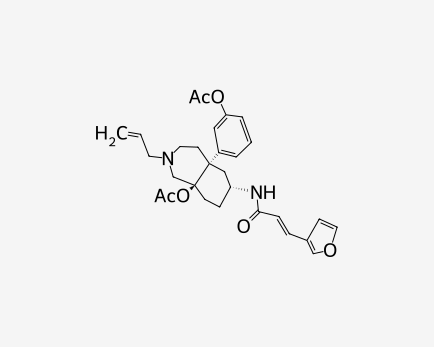 C=CCN1CC[C@@]2(c3cccc(OC(C)=O)c3)C[C@H](NC(=O)C=Cc3ccoc3)CC[C@]2(OC(C)=O)C1